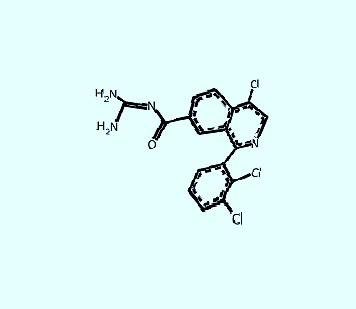 NC(N)=NC(=O)c1ccc2c(Cl)cnc(-c3cccc(Cl)c3Cl)c2c1